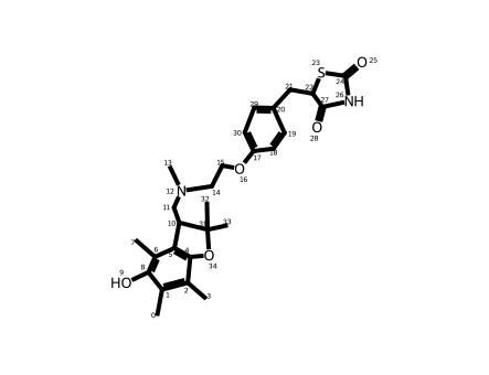 Cc1c(C)c2c(c(C)c1O)C(CN(C)CCOc1ccc(CC3SC(=O)NC3=O)cc1)C(C)(C)O2